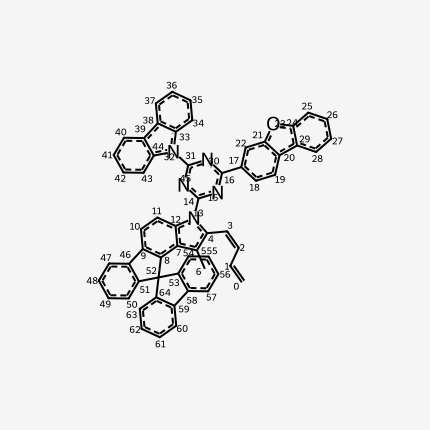 C=C/C=C\c1c(C)c2c3c(ccc2n1-c1nc(-c2ccc4c(c2)oc2ccccc24)nc(-n2c4ccccc4c4ccccc42)n1)-c1ccccc1C31c2ccccc2-c2ccccc21